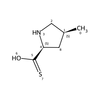 C[C@@H]1CN[C@H](C(O)=S)C1